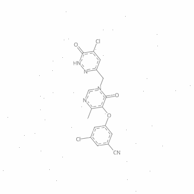 Cc1ncn(Cc2cc(Cl)c(=O)[nH]n2)c(=O)c1Oc1cc(Cl)cc(C#N)c1